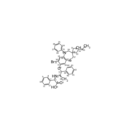 C=C(N[C@@H](C(=O)O)c1ccccc1)C(Oc1cc2c(cc1Br)N(c1ccccc1)CC(CC)(CCCC)CS2)c1ccccc1